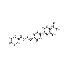 O=c1cc(-c2ccc(OCCCN3CCCCC3)cc2)ccn1C(F)F